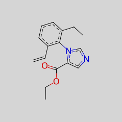 C=Cc1cccc(CC)c1-n1cncc1C(=O)OCC